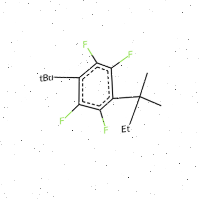 CCC(C)(C)c1c(F)c(F)c(C(C)(C)C)c(F)c1F